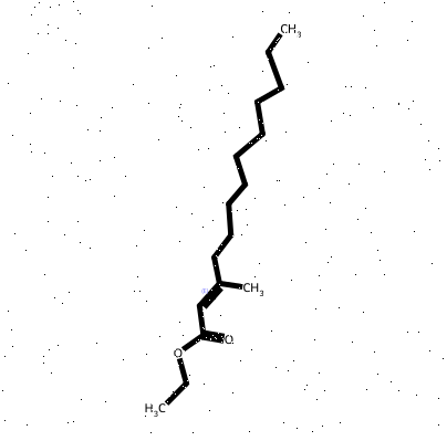 CCCCCCCCCC/C(C)=C/C(=O)OCC